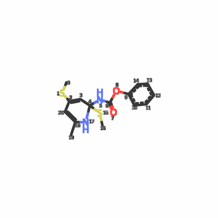 CSC1=CC(NC(=O)Oc2ccccc2)(SC)NC(C)=C1